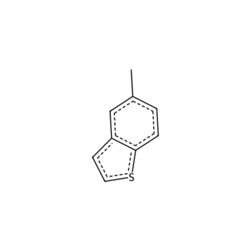 Cc1ccc2sccc2c1